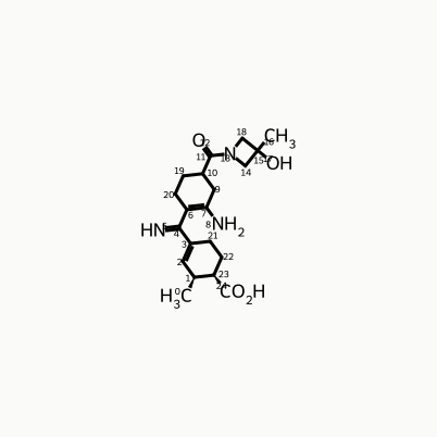 C[C@H]1C=C(C(=N)C2=C(N)CC(C(=O)N3CC(C)(O)C3)CC2)CC[C@H]1C(=O)O